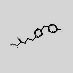 CCCNC(=O)OCCc1ccc(Cc2ccc(F)cc2)cc1